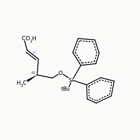 C[C@@H](/C=C/C(=O)O)CO[Si](c1ccccc1)(c1ccccc1)C(C)(C)C